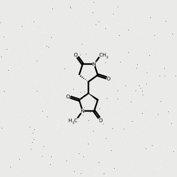 CN1C(=O)C[C@@H]([C@H]2CC(=O)N(C)C2=O)C1=O